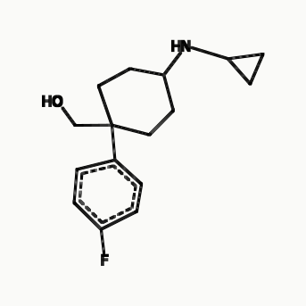 OCC1(c2ccc(F)cc2)CCC(NC2CC2)CC1